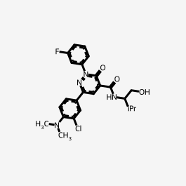 CC(C)C(CO)NC(=O)c1cc(-c2ccc(N(C)C)c(Cl)c2)nn(-c2cccc(F)c2)c1=O